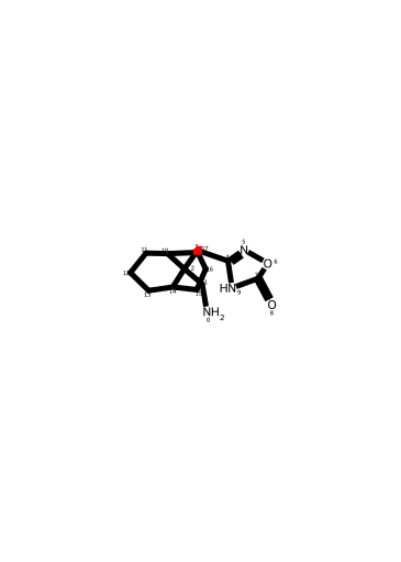 NCC1(Cc2noc(=O)[nH]2)C2CCCC1CCC2